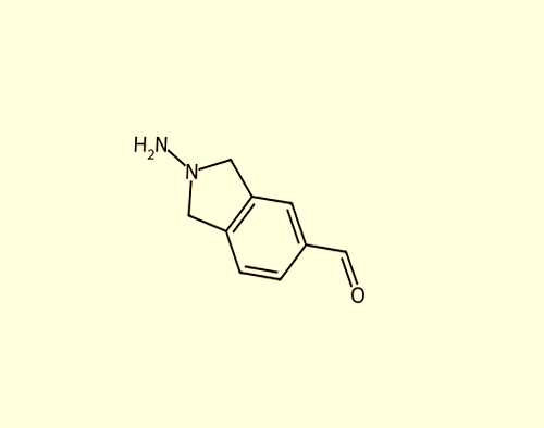 NN1Cc2ccc(C=O)cc2C1